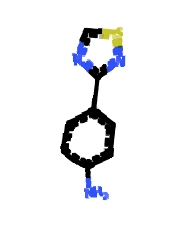 Nc1ccc(-c2ncsn2)cc1